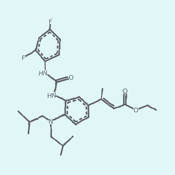 CCOC(=O)/C=C(\C)c1ccc(N(CC(C)C)CC(C)C)c(NC(=O)Nc2ccc(F)cc2F)c1